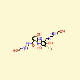 Cc1c(O)c(C=NCCNCCO)c2nc3c(O)ccc(C(=O)NCCNCCO)c3nc2c1O